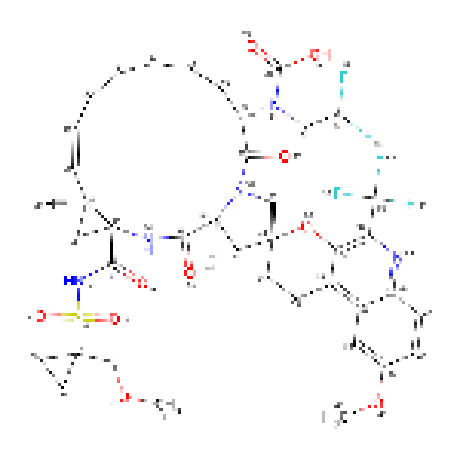 COCC1(S(=O)(=O)NC(=O)[C@@]23C[C@H]2/C=C\CCCCC[C@H](N(CC(F)F)C(=O)O)C(=O)N2C[C@@]4(CCc5c(c(C(F)(F)F)nc6ccc(OC)cc56)O4)C[C@H]2C(=O)N3)CC1